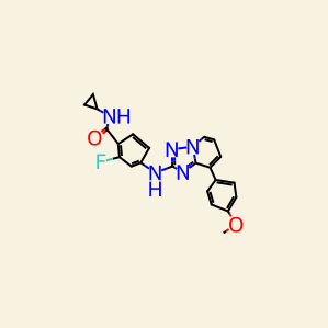 COc1ccc(-c2cccn3nc(Nc4ccc(C(=O)NC5CC5)c(F)c4)nc23)cc1